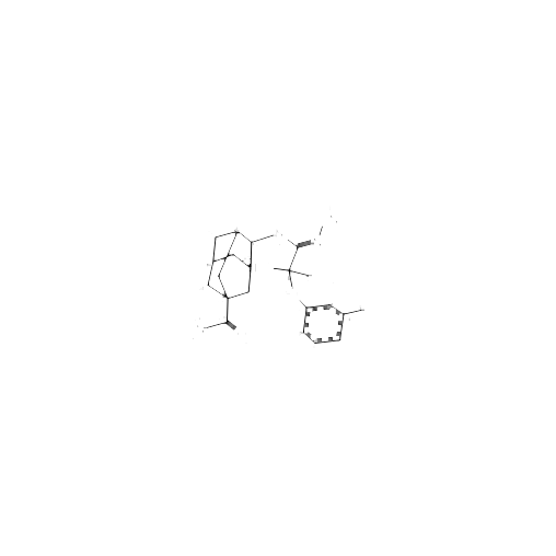 CC(C)(Oc1cccc(Cl)c1)/C(=N/C#N)NC1C2CC3CC1CC(C(N)=O)(C3)C2